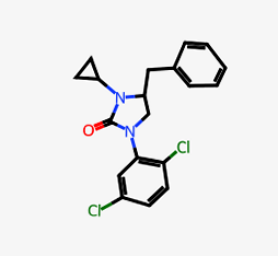 O=C1N(c2cc(Cl)ccc2Cl)CC(Cc2ccccc2)N1C1CC1